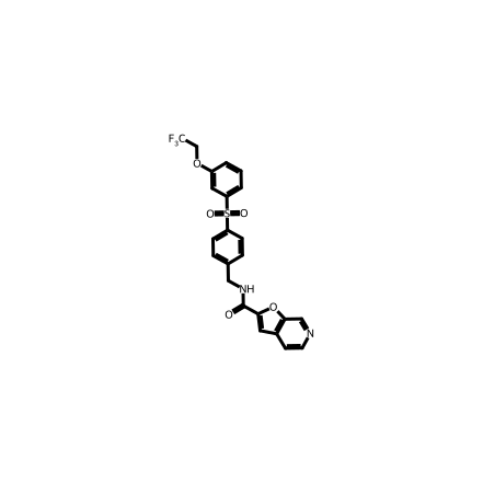 O=C(NCc1ccc(S(=O)(=O)c2cccc(OCC(F)(F)F)c2)cc1)c1cc2ccncc2o1